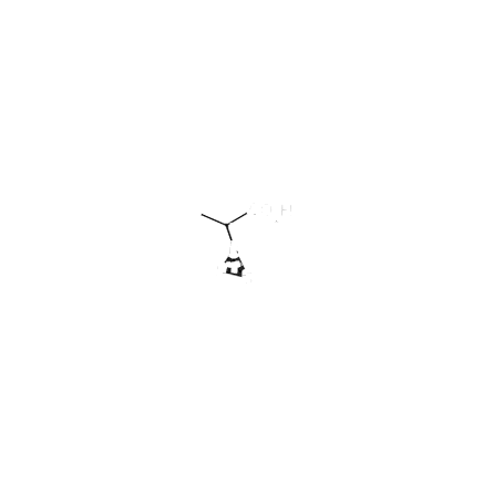 CC(C(=O)O)n1ss1